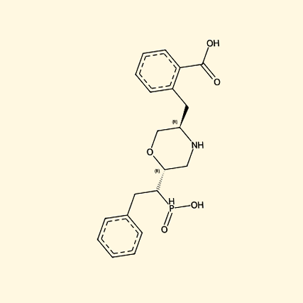 O=C(O)c1ccccc1C[C@@H]1CO[C@@H](C(Cc2ccccc2)[PH](=O)O)CN1